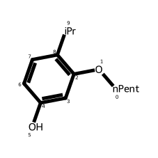 CCCCCOc1cc(O)ccc1C(C)C